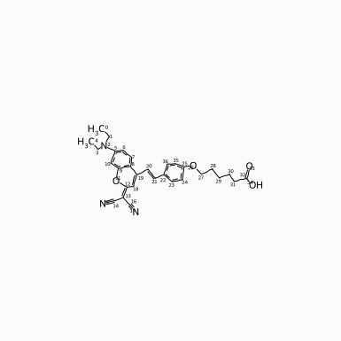 CCN(CC)c1ccc2c(c1)OC(=C(C#N)C#N)C=C2C=Cc1ccc(OCCCCCC(=O)O)cc1